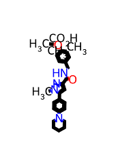 Cc1cc(CNC(=O)c2cc(-c3ccc(N4CCCCC4)cc3)n(C)n2)ccc1OC(C)(C)C(=O)O